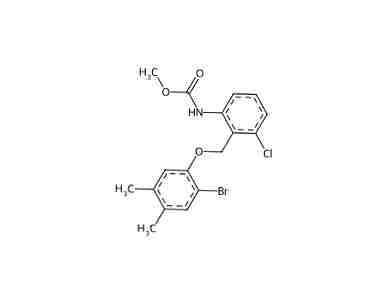 COC(=O)Nc1cccc(Cl)c1COc1cc(C)c(C)cc1Br